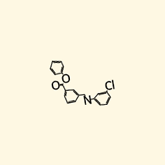 O=C(Oc1ccccc1)c1cccc(C=Nc2cccc(Cl)c2)c1